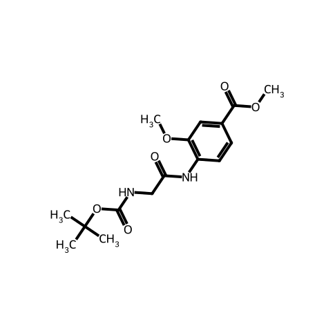 COC(=O)c1ccc(NC(=O)CNC(=O)OC(C)(C)C)c(OC)c1